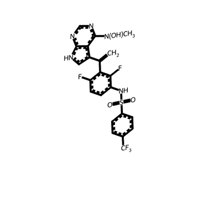 C=C(c1c(F)ccc(NS(=O)(=O)c2ccc(C(F)(F)F)cc2)c1F)c1c[nH]c2ncnc(N(C)O)c12